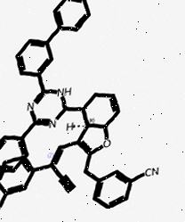 C#C/C(=C\C1=C(Cc2cccc(C#N)c2)OC2C=CCC(C3N=C(c4ccccc4)N=C(c4cccc(-c5ccccc5)c4)N3)[C@H]12)c1cccc(C#N)c1